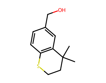 CC1(C)CCSc2ccc(CO)cc21